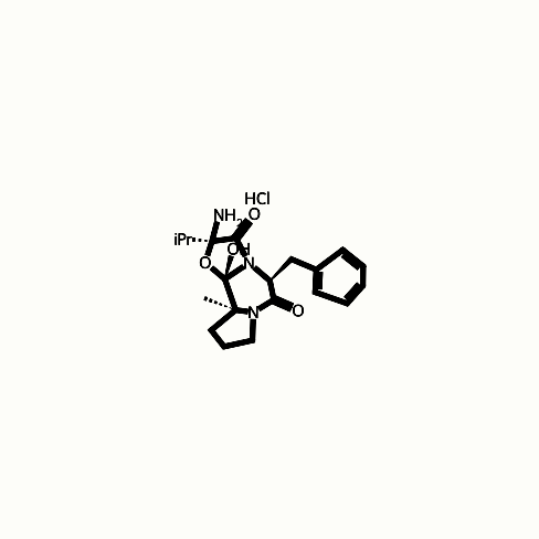 CC(C)[C@@]1(N)O[C@]2(O)N(C1=O)[C@@H](Cc1ccccc1)C(=O)N1CCC[C@]12C.Cl